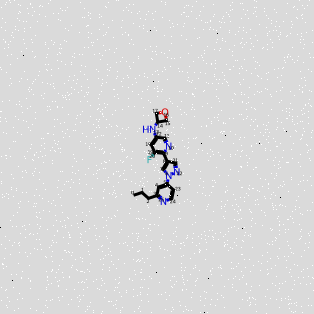 CCCc1cc(-n2cc(-c3ncc(NC4COC4)cc3F)cn2)ccn1